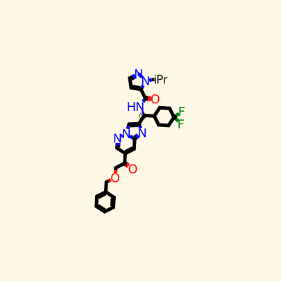 CC(C)n1nccc1C(=O)N[C@H](c1cn2ncc(C(=O)COCc3ccccc3)cc2n1)C1CCC(F)(F)CC1